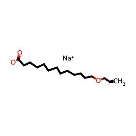 C=CCOCCCCCCCCCCCCC(=O)[O-].[Na+]